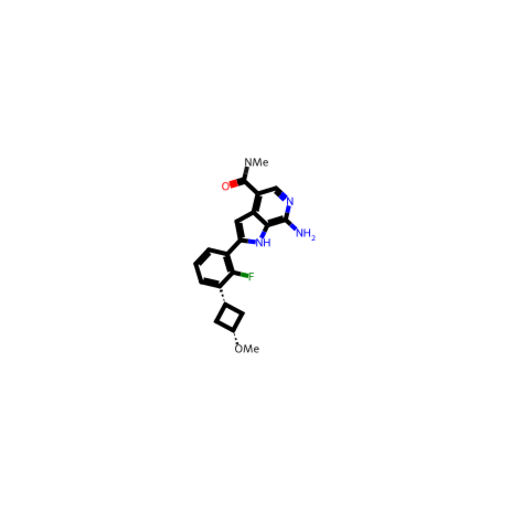 CNC(=O)c1cnc(N)c2[nH]c(-c3cccc([C@H]4C[C@@H](OC)C4)c3F)cc12